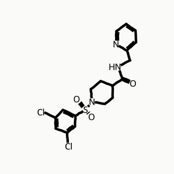 O=C(NCc1ccccn1)C1CCN(S(=O)(=O)c2cc(Cl)cc(Cl)c2)CC1